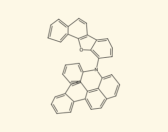 c1ccc(N(c2cccc3c2oc2c4ccccc4ccc32)c2cccc3ccc4c5ccccc5ccc4c23)cc1